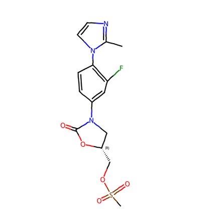 Cc1nccn1-c1ccc(N2C[C@H](COS(C)(=O)=O)OC2=O)cc1F